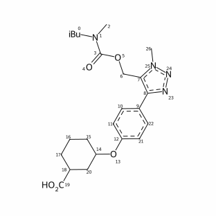 CCC(C)N(C)C(=O)OCc1c(-c2ccc(OC3CCCC(C(=O)O)C3)cc2)nnn1C